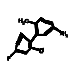 Cc1ccc(N)cc1-c1ccc(F)cc1Cl